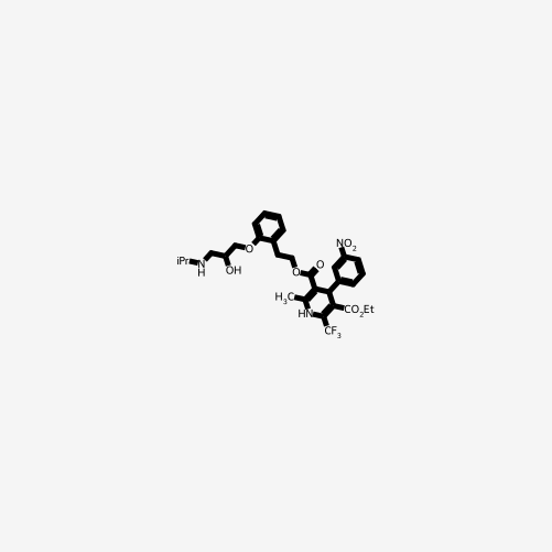 CCOC(=O)C1=C(C(F)(F)F)NC(C)=C(C(=O)OCCc2ccccc2OCC(O)CNC(C)C)C1c1cccc([N+](=O)[O-])c1